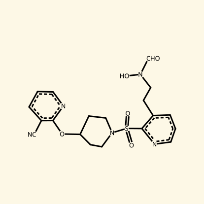 N#Cc1cccnc1OC1CCN(S(=O)(=O)c2ncccc2CCN(O)C=O)CC1